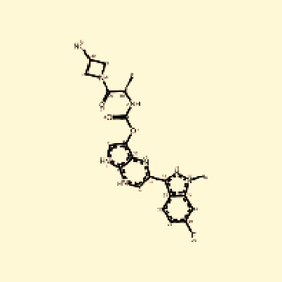 C[C@@H](NC(=O)Oc1c[nH]c2ncc(-c3nn(C)c4cc(F)ccc34)nc12)C(=O)N1CC(C#N)C1